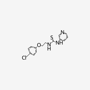 S=C(NCCOc1ccc(Cl)cc1)Nc1cccnc1